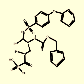 CC(C)C(NS(=O)(=O)c1ccc(Oc2ccccc2)cc1)[C@H](CN(C(=O)P(=O)(O)O)C(C)C)NC(=O)OCc1ccccc1